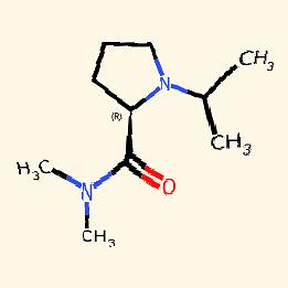 CC(C)N1CCC[C@@H]1C(=O)N(C)C